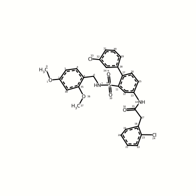 COc1ccc(CNS(=O)(=O)c2cc(NC(=O)Cc3ccccc3Cl)ccc2-c2cccc(Cl)c2)c(OC)c1